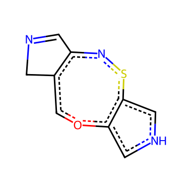 C1=NCc2coc3c[nH]cc3snc21